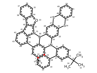 Cc1cc2c3c(c1)N(c1ccc(C(C)(C)C)cc1-c1ccccc1)c1cc4c(cc1B3n1c3oc5ccccc5c3c3cccc-2c31)Sc1ccccc1S4